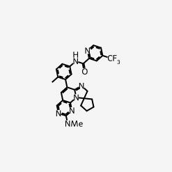 CNc1ncc2c(n1)N1C(=NCC13CCCC3)C(c1cc(NC(=O)c3cc(C(F)(F)F)ccn3)ccc1C)=C2